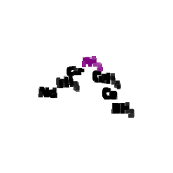 P.[BiH3].[Ce].[Cu].[GeH4].[InH3].[Nd]